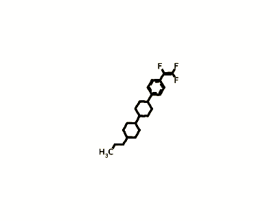 CCCC1CCC(C2CCC(c3ccc(C(F)=C(F)F)cc3)CC2)CC1